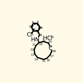 Cl.Clc1ccccc1CNC1CCCCCCCCCCC1